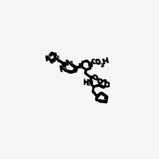 O=C(CC1CN(C(=O)O)CCN1c1ccnc(-n2ccnc2)n1)NC(Cc1ccccc1)C1=COCO1